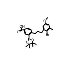 COc1cc(C)c(Br)c(CCCc2ccc(C(=O)O)cc2B2OC(C)(C)C(C)(C)O2)c1